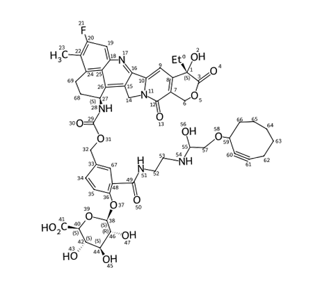 CC[C@@]1(O)C(=O)OCc2c1cc1n(c2=O)Cc2c-1nc1cc(F)c(C)c3c1c2[C@@H](NC(=O)OCc1ccc(O[C@@H]2O[C@H](C(=O)O)[C@@H](O)[C@H](O)[C@H]2O)c(C(=O)NCCNC(O)COC2C#CCCCCC2)c1)CC3